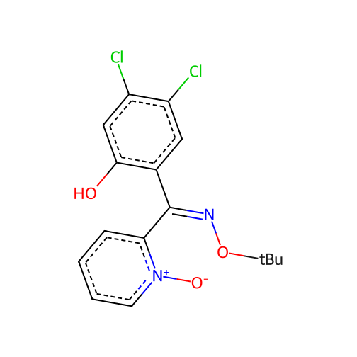 CC(C)(C)ON=C(c1cc(Cl)c(Cl)cc1O)c1cccc[n+]1[O-]